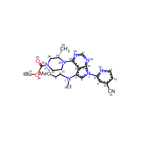 CCN(CCOC)c1cn(-c2cc(C#N)ccn2)c2ncnc(N3CCN(C(=O)OC(C)(C)C)C[C@@H]3C)c12